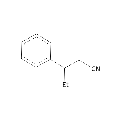 CCC(CC#N)c1ccccc1